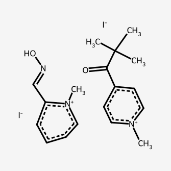 C[n+]1ccc(C(=O)C(C)(C)C)cc1.C[n+]1ccccc1C=NO.[I-].[I-]